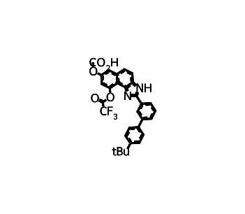 CC(C)(C)c1ccc(-c2cccc(-c3nc4c(ccc5cc(OC(=O)O)cc(OC(=O)C(F)(F)F)c54)[nH]3)c2)cc1